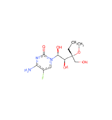 CC[C@](CO)(OC)[C@@H](O)[C@H](O)n1cc(F)c(N)nc1=O